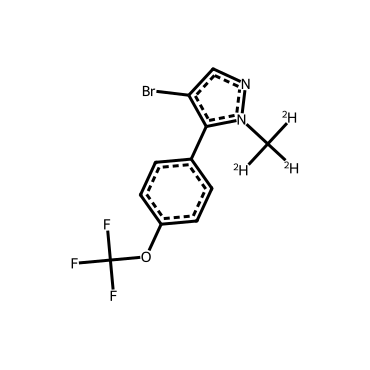 [2H]C([2H])([2H])n1ncc(Br)c1-c1ccc(OC(F)(F)F)cc1